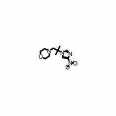 CC(C)(CN1CCOCC1)n1cnc([N+](=O)[O-])c1